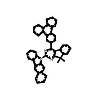 CC1(C)c2ccccc2-c2c(-c3ccc4c5ccccc5c5ccccc5c4c3)nc(-n3c4ccccc4c4cc5ccccc5cc43)nc21